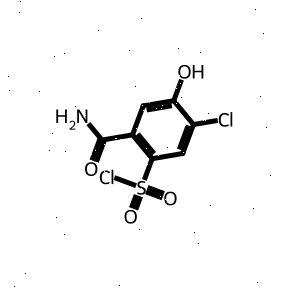 NC(=O)c1cc(O)c(Cl)cc1S(=O)(=O)Cl